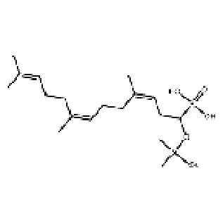 CC(C)=CCCC(C)=CCCC(C)=CCC(O[Si](C)(C)C(C)(C)C)P(=O)(O)O